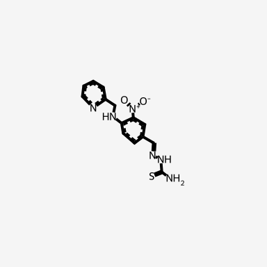 NC(=S)N/N=C/c1ccc(NCc2ccccn2)c([N+](=O)[O-])c1